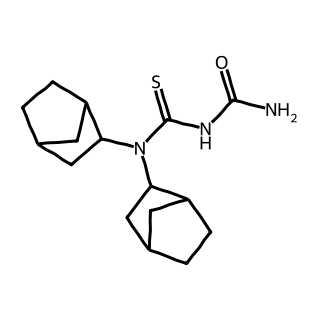 NC(=O)NC(=S)N(C1CC2CCC1C2)C1CC2CCC1C2